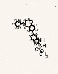 COC(=O)Nc1nc2ccc(-c3ccc4c(c3)CN(c3ncccn3)CCO4)cc2[nH]1